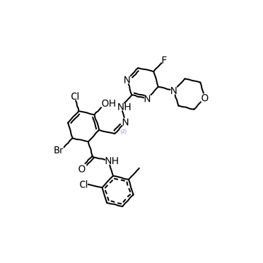 Cc1cccc(Cl)c1NC(=O)C1C(/C=N\NC2=NC(N3CCOCC3)C(F)C=N2)=C(O)C(Cl)=CC1Br